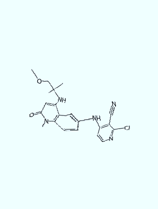 COCC(C)(C)Nc1cc(=O)n(C)c2ccc(Nc3ccnc(Cl)c3C#N)cc12